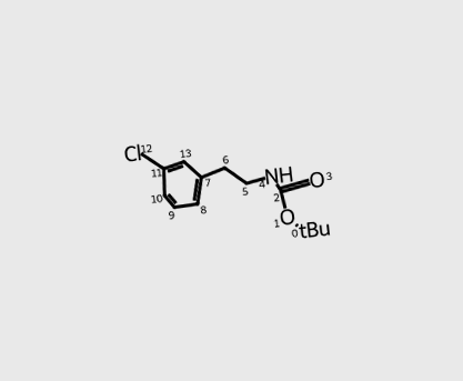 CC(C)(C)OC(=O)NCCc1cccc(Cl)c1